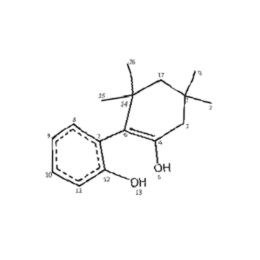 CC1(C)CC(O)=C(c2ccccc2O)C(C)(C)C1